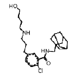 O=C(NCC12CC3CC(CC(C3)C1)C2)c1cc(CCCNCCCCO)ccc1Cl